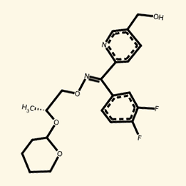 C[C@H](CO/N=C(\c1ccc(F)c(F)c1)c1ccc(CO)cn1)OC1CCCCO1